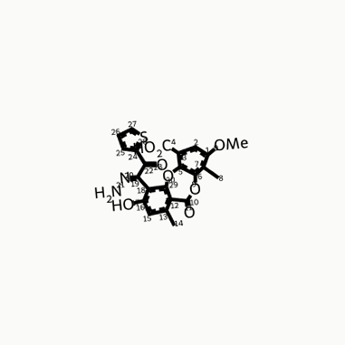 COc1cc(C(=O)O)c2c(c1C)OC(=O)c1c(C)cc(O)c(/C(=N\N)C(=O)c3cccs3)c1O2